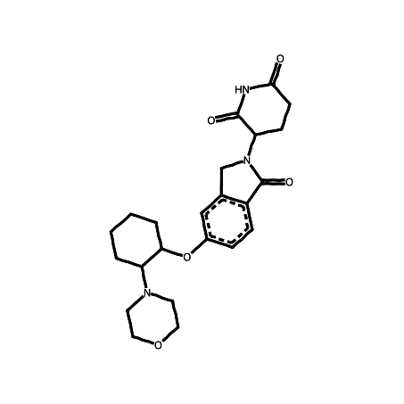 O=C1CCC(N2Cc3cc(OC4CCCCC4N4CCOCC4)ccc3C2=O)C(=O)N1